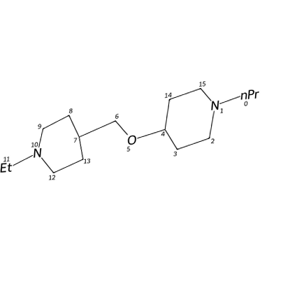 CCCN1CCC(OCC2CCN(CC)CC2)CC1